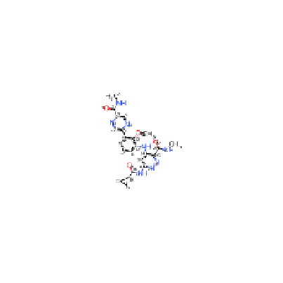 CNC(=O)c1cnc(-c2cccc(Nc3cc(NC(=O)C4CC4)nnc3C(=O)NC)c2OC)cn1